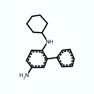 Nc1ccc(NC2CCCCC2)c(-c2ccccc2)c1